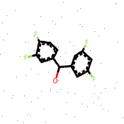 [O]C(c1cc(F)cc(F)c1)c1ccc(F)c(F)c1